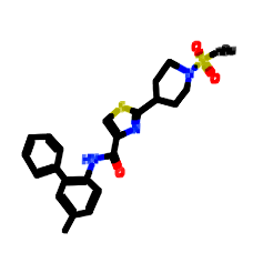 CCCCS(=O)(=O)N1CCC(c2nc(C(=O)Nc3ccc(C)cc3-c3ccccc3)cs2)CC1